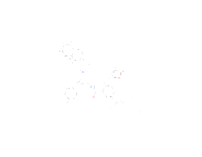 CCCN(CCC)C(=O)c1cc(C(=O)N[C@@H](Cc2cc(F)cc(F)c2)[C@H](O)CNCc2ccc3ccccc3c2)cc(-c2ncco2)c1